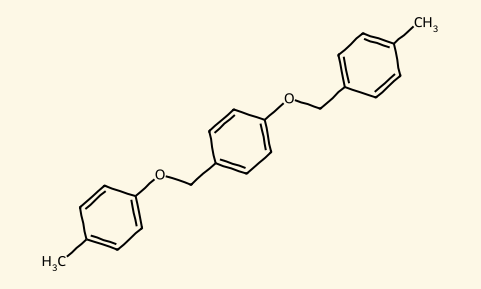 Cc1ccc(COc2ccc(COc3ccc(C)cc3)cc2)cc1